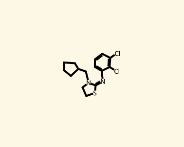 Clc1cccc(N=C2SCCN2CC2CCCC2)c1Cl